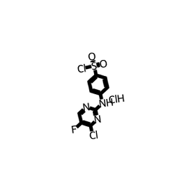 Cl.O=S(=O)(Cl)c1ccc(Nc2ncc(F)c(Cl)n2)cc1